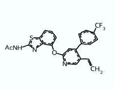 C=Cc1cnc(Oc2cccc3sc(NC(C)=O)nc23)cc1-c1ccc(C(F)(F)F)cc1